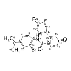 CC(C)c1ccc(NC(=O)N2C=CC(=O)C[C@H]2c2ccc(F)cc2)c(Br)c1